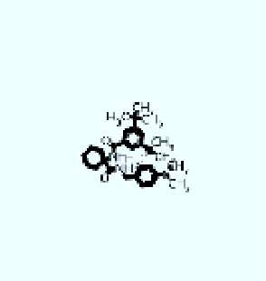 CN(C)c1ccc(CNC(=O)C2(NC(=O)c3cc(C(C)(C)C)cc(C(C)(C)C)c3)CCCCC2)cc1